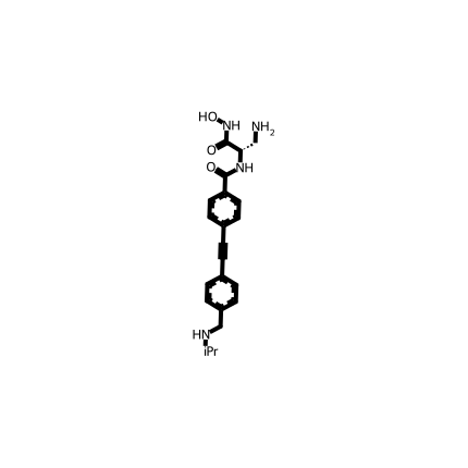 CC(C)NCc1ccc(C#Cc2ccc(C(=O)N[C@@H](CN)C(=O)NO)cc2)cc1